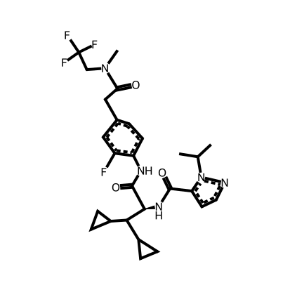 CC(C)n1nccc1C(=O)N[C@H](C(=O)Nc1ccc(CC(=O)N(C)CC(F)(F)F)cc1F)C(C1CC1)C1CC1